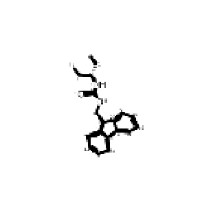 CC[C@@H](CI)NC(=O)OCC1c2ccccc2-c2ccccc21